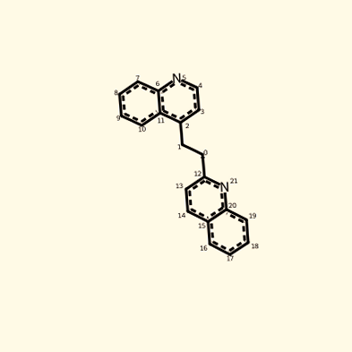 [C](Cc1ccnc2ccccc12)c1ccc2ccccc2n1